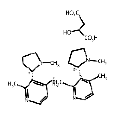 Cc1ccnc(C)c1[C@@H]1CCCN1C.Cc1ccnc(C)c1[C@@H]1CCCN1C.O=C(O)CC(O)C(=O)O